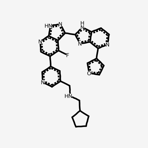 Fc1c(-c2cncc(CNCC3CCCC3)c2)cnc2[nH]nc(-c3nc4c(-c5ccoc5)nccc4[nH]3)c12